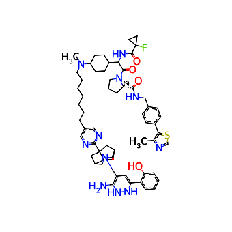 Cc1ncsc1-c1ccc(CNC(=O)[C@@H]2CCCN2C(=O)C(NC(=O)C2(F)CC2)C2CCC(N(C)CCCCCCCc3cnc(C45CC6CC4C(CN(C4=C(N)NNC(c7ccccc7O)=C4)C6)C5)nc3)CC2)cc1